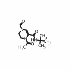 CC(=O)N1CCN(C=O)C=C1C(=O)NC(C)(C)C